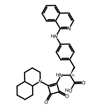 O=C(O)[C@H](Cc1ccc(Nc2nccc3ccccc23)cc1)Nc1c(N2CCCC3CCCCC32)c(=O)c1=O